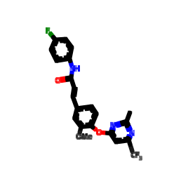 COc1cc(C=CC(=O)Nc2ccc(F)cc2)ccc1Oc1cc(C(F)(F)F)nc(C)n1